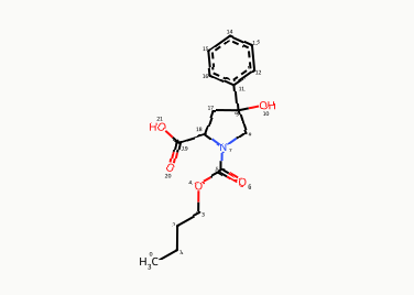 CCCCOC(=O)N1CC(O)(c2ccccc2)CC1C(=O)O